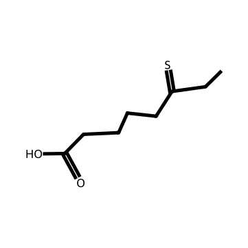 CCC(=S)CCCCC(=O)O